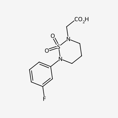 O=C(O)CN1CCCN(c2cccc(F)c2)S1(=O)=O